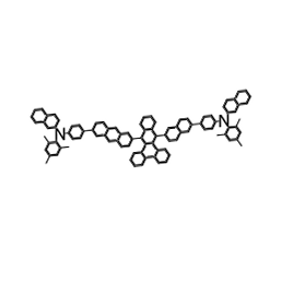 Cc1cc(C)c(N(c2ccc(-c3ccc4cc(-c5c6ccccc6c(-c6ccc7cc8cc(-c9ccc(N(c%10ccc%11ccccc%11c%10)c%10c(C)cc(C)cc%10C)cc9)ccc8cc7c6)c6c7ccccc7c7ccccc7c56)ccc4c3)cc2)c2ccc3ccccc3c2)c(C)c1